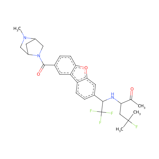 CC(=O)C(CC(C)(C)F)NC(c1ccc2c(c1)oc1ccc(C(=O)N3CC4CC3CN4C)cc12)C(F)(F)F